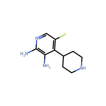 Nc1ncc(F)c(C2CCNCC2)c1N